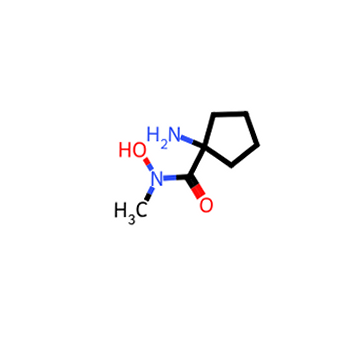 CN(O)C(=O)C1(N)CCCC1